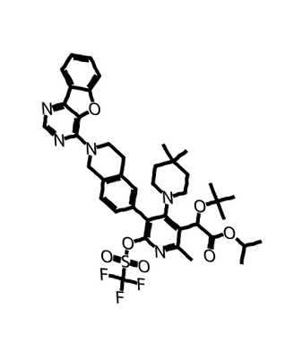 Cc1nc(OS(=O)(=O)C(F)(F)F)c(-c2ccc3c(c2)CCN(c2ncnc4c2oc2ccccc24)C3)c(N2CCC(C)(C)CC2)c1C(OC(C)(C)C)C(=O)OC(C)C